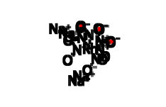 O=[N+]([O-])[Rh-4]([N+](=O)[O-])([N+](=O)[O-])([N+](=O)[O-])([N+](=O)[O-])[N+](=O)[O-].[Na+].[Na+].[Na+].[Na+]